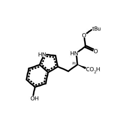 CC(C)(C)OC(=O)N[C@H](Cc1c[nH]c2ccc(O)cc12)C(=O)O